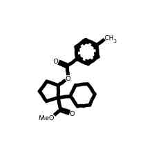 COC(=O)C1(C2CCCCC2)CCCC1OC(=O)c1ccc(C)cc1